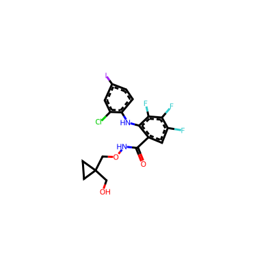 O=C(NOCC1(CO)CC1)c1cc(F)c(F)c(F)c1Nc1ccc(I)cc1Cl